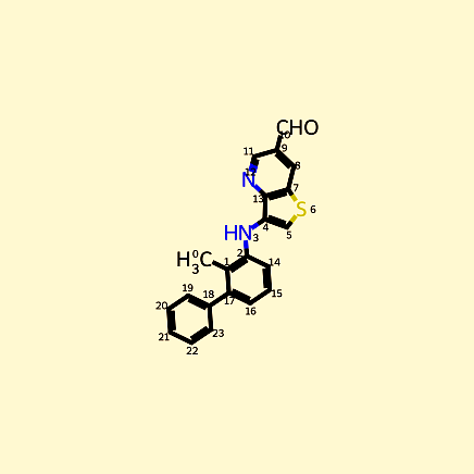 Cc1c(Nc2csc3cc(C=O)cnc23)cccc1-c1ccccc1